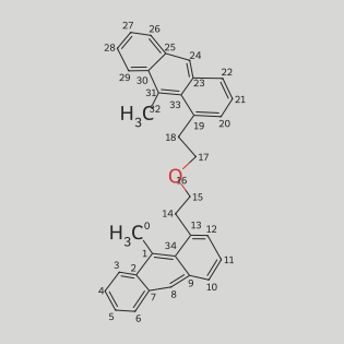 Cc1c2ccccc2cc2cccc(CCOCCc3cccc4cc5ccccc5c(C)c34)c12